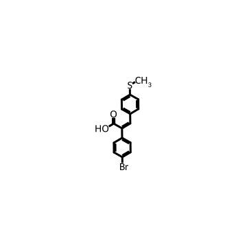 CSc1ccc(/C=C(\C(=O)O)c2ccc(Br)cc2)cc1